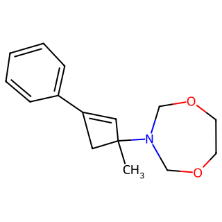 CC1(N2COCCOC2)C=C(c2ccccc2)C1